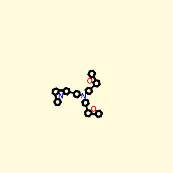 c1ccc2c(c1)oc1c(-c3ccc(N(c4ccc(-c5ccc6c7cccc8c9ccccc9n(c6c5)c87)cc4)c4ccc(-c5cccc6c5oc5ccccc56)cc4)cc3)cccc12